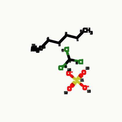 CCCCCC.ClC(Cl)Cl.O=S(=O)([O-])[O-].[Mg+2]